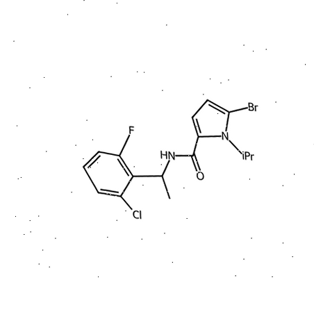 CC(NC(=O)c1ccc(Br)n1C(C)C)c1c(F)cccc1Cl